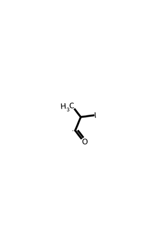 CC(I)[C]=O